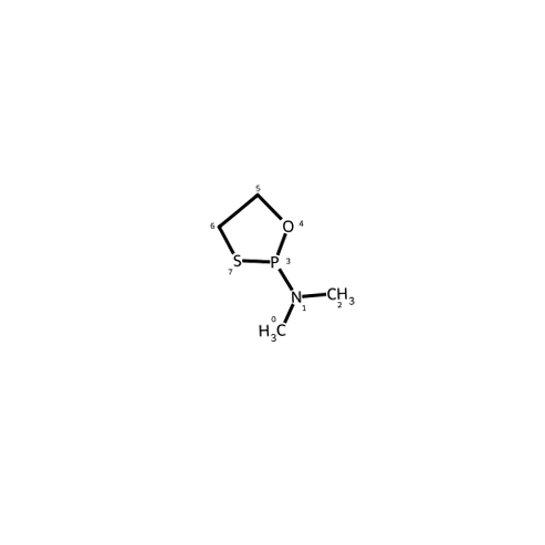 CN(C)P1OCCS1